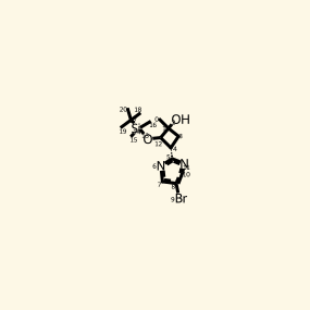 CC1(O)C[C@H](c2ncc(Br)cn2)C1O[Si](C)(C)C(C)(C)C